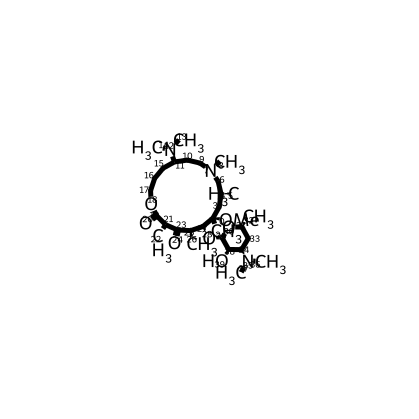 CO[C@]1(C)C[C@@H](C)CN(C)CCC(N(C)C)CCCOC(=O)C(C)C(=O)[C@H](C)[C@H]1O[C@@H]1O[C@H](C)C[C@H](N(C)C)[C@H]1O